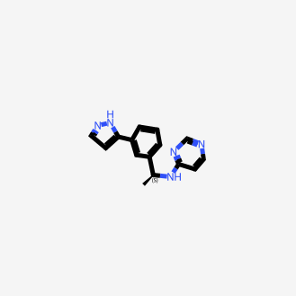 C[C@H](Nc1ccncn1)c1cccc(-c2ccn[nH]2)c1